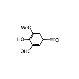 C#CC1C=C(C=O)C(O)=C(OC)C1